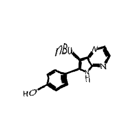 CCCCc1c(-c2ccc(O)cc2)[nH]c2nccnc12